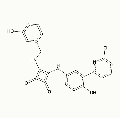 O=c1c(NCc2cccc(O)c2)c(Nc2ccc(O)c(-c3cccc(Cl)n3)c2)c1=O